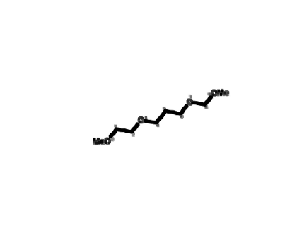 COCCOCCCOCOC